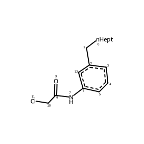 CCCCCCCCc1cccc(NC(=O)CCl)c1